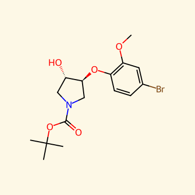 COc1cc(Br)ccc1O[C@H]1CN(C(=O)OC(C)(C)C)C[C@@H]1O